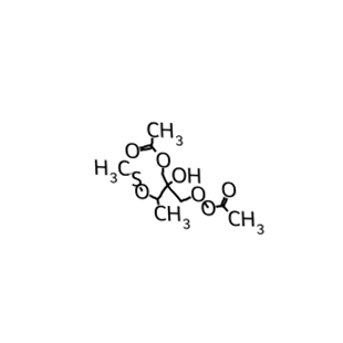 CSOC(C)C(O)(COOC(C)=O)COC(C)=O